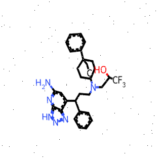 Nc1cc(C(CCN(CC(O)C(F)(F)F)C23CCC(c4ccccc4)(CC2)CC3)c2ccccc2)c2nn[nH]c2n1